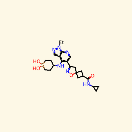 CCn1ncc2c(NC3CCS(O)(O)CC3)c(C3=NOC4(C3)CC(C(=O)NC3CC3)C4)cnc21